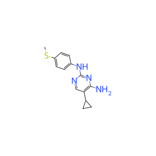 CSc1ccc(Nc2ncc(C3CC3)c(N)n2)cc1